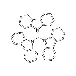 c1ccc2c(c1)c1ccccc1n2C(n1c2ccccc2c2ccccc21)n1c2ccccc2c2ccccc21